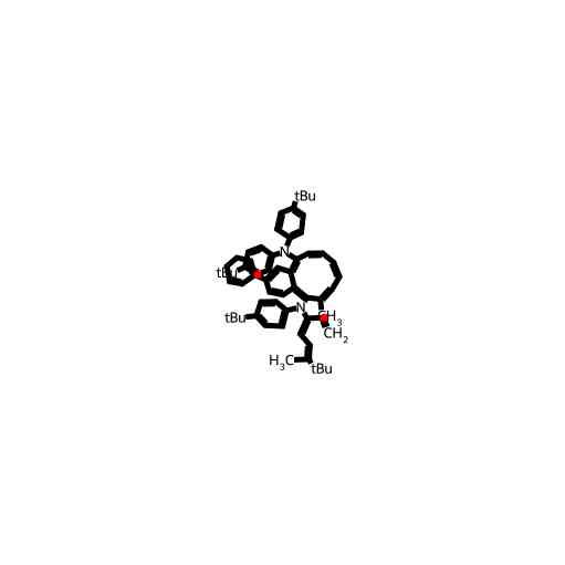 C=C/C(=C\C=C(/C)C(C)(C)C)N(c1ccc(C(C)(C)C)cc1)c1c(C)cccccc(N(c2ccc(C(C)(C)C)cc2)c2ccc(C(C)(C)C)cc2)c2cc(C3=CCCC=C3)ccc12